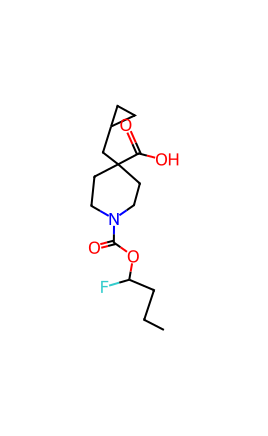 CCCC(F)OC(=O)N1CCC(CC2CC2)(C(=O)O)CC1